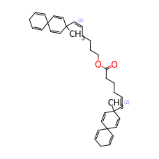 CC1(/C=C\CCCCOC(=O)CCC/C=C\C2(C)C=CC3(C=CCC=C3)C=C2)C=CC2(C=CCC=C2)C=C1